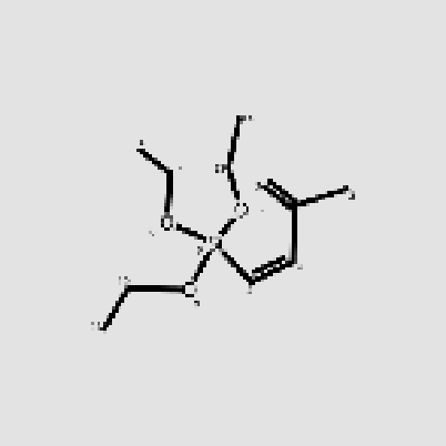 C=C(C)/C=C\[Si](OCC)(OCC)OCC